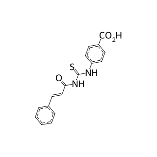 O=C(C=Cc1ccccc1)NC(=S)Nc1ccc(C(=O)O)cc1